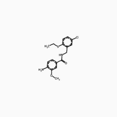 CCSc1ccc(Cl)cc1CNC(=O)c1ccc(N)c(OC)c1